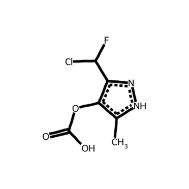 Cc1[nH]nc(C(F)Cl)c1OC(=O)O